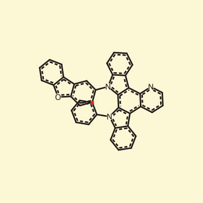 c1ccc(-n2c3ccccc3c3c4cccnc4c4c5ccccc5n(-c5ccc6oc7ccccc7c6c5)c4c32)cc1